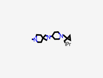 CC(C)CC1(CN2CCC(N3CC4(CCN(C)CC4)C3)CC2)CC1